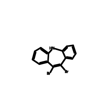 BrC1=C(Br)c2ccccc2Nc2ccccc21